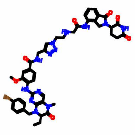 CC[C@@H]1C(=O)N(C)c2cnc(Nc3ccc(C(=O)NCc4cn(CCNCC(=O)Nc5cccc6c5CN(C5CCC(=O)NC5=O)C6=O)nn4)cc3OC)nc2N1Cc1ccc(Br)cc1